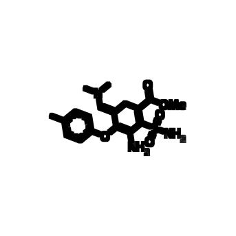 COC(=O)C1=C(S(N)(=O)=O)C(N)=C(Oc2ccc(C)cc2)C(=CN(C)C)C1